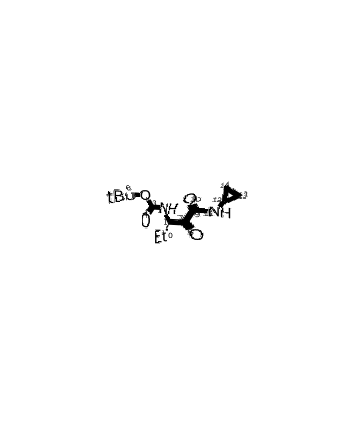 CC[C@H](NC(=O)OC(C)(C)C)C(=O)C(=O)NC1CC1